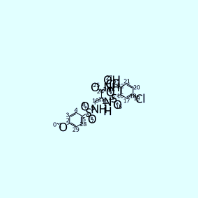 COc1ccc(S(=O)(=O)NCC(NS(=O)(=O)c2cc(Cl)ccc2Cl)C(=O)NO)cc1